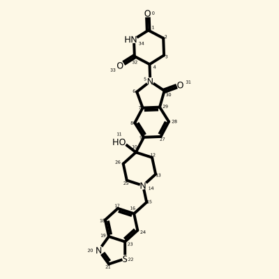 O=C1CCC(N2Cc3cc(C4(O)CCN(Cc5ccc6ncsc6c5)CC4)ccc3C2=O)C(=O)N1